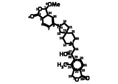 COC1OC(=O)C2C=CC(N3CCC4(CCN(C[C@H](O)c5ccc6c(c5C)COC6=O)CC4)C3)=CC12